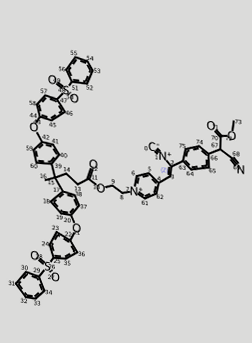 [C-]#[N+]/C(=C\c1cc[n+](CCOC(=O)CCC(C)(c2ccc(Oc3ccc(S(=O)(=O)c4ccccc4)cc3)cc2)c2ccc(Oc3ccc(S(=O)(=O)c4ccccc4)cc3)cc2)cc1)c1ccc(C(C#N)C(=O)OC)cc1